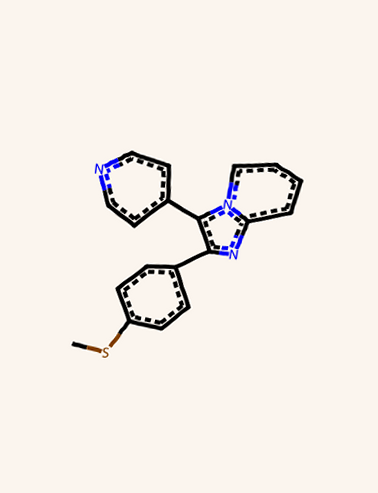 CSc1ccc(-c2nc3ccccn3c2-c2ccncc2)cc1